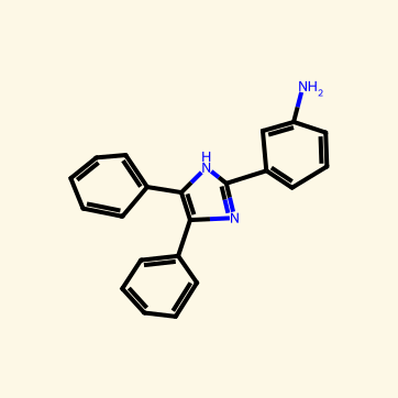 Nc1cccc(-c2nc(-c3ccccc3)c(-c3ccccc3)[nH]2)c1